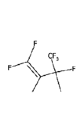 CC(=C(F)F)C(C)(F)C(F)(F)F